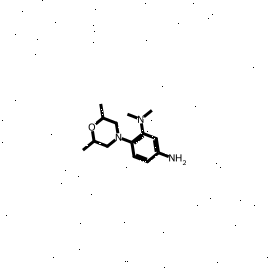 CC1CN(c2ccc(N)cc2N(C)C)CC(C)O1